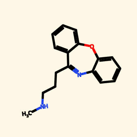 CNCCCC1=Nc2ccccc2Oc2ccccc21